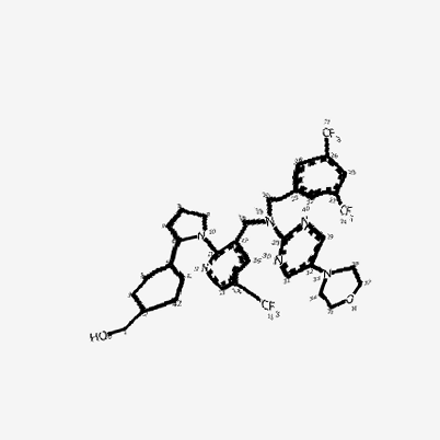 OCC1CCC(C2CCCN2c2ncc(C(F)(F)F)cc2CN(Cc2cc(C(F)(F)F)cc(C(F)(F)F)c2)c2ncc(N3CCOCC3)cn2)CC1